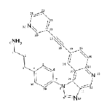 NCCCc1ccc(-n2cnc3cnc4ccc(C#Cc5cccnc5)cc4c32)cc1